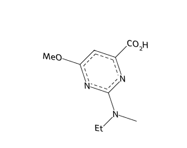 CCN(C)c1nc(OC)cc(C(=O)O)n1